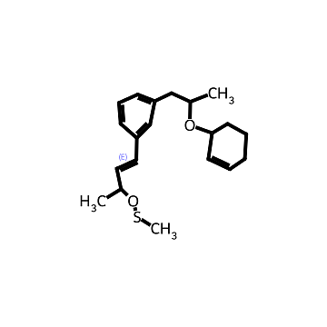 CSOC(C)/C=C/c1cccc(CC(C)OC2C=CCCC2)c1